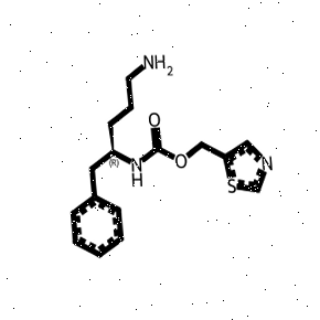 NCCC[C@H](Cc1ccccc1)NC(=O)OCc1cncs1